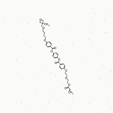 C=CC(=O)OCCOCCOc1ccc(C(=O)Oc2ccc(OC(=O)c3ccc(OCCCCOCC4(C)COC4)cc3)cc2)cc1